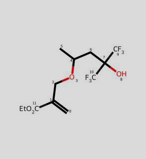 C=C(COC(C)CC(O)(C(F)(F)F)C(F)(F)F)C(=O)OCC